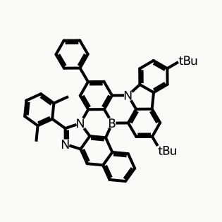 Cc1cccc(C)c1-c1nc2cc3ccccc3c3c2n1-c1cc(-c2ccccc2)cc2c1B3c1cc(C(C)(C)C)cc3c4cc(C(C)(C)C)ccc4n-2c13